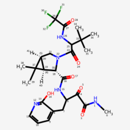 CNC(=O)C(=O)C(Cc1cccnc1O)NC(=O)[C@@H]1[C@@H]2[C@H](CN1C(=O)C(NC(=O)C(F)(F)F)C(C)(C)C)C2(C)C